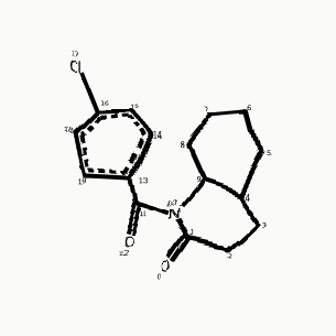 O=C1CCC2CCCCC2N1C(=O)c1ccc(Cl)cc1